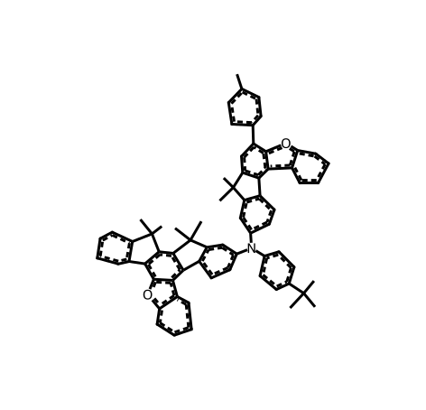 Cc1ccc(-c2cc3c(c4c2oc2ccccc24)-c2ccc(N(c4ccc(C(C)(C)C)cc4)c4ccc5c(c4)C(C)(C)c4c6c(c7oc8ccccc8c7c4-5)-c4ccccc4C6(C)C)cc2C3(C)C)cc1